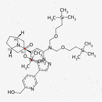 CC(C)(C)OC(=O)N1[C@@H]2CC[C@H]1C[C@H](c1cc(N(COCC[Si](C)(C)C)COCC[Si](C)(C)C)n3ncc(-c4ccc(CO)nc4)c3n1)C2